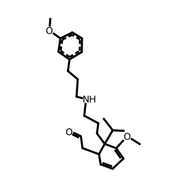 COC1=CC=CC(CC=O)C1(CCCNCCCc1cccc(OC)c1)C(C)C